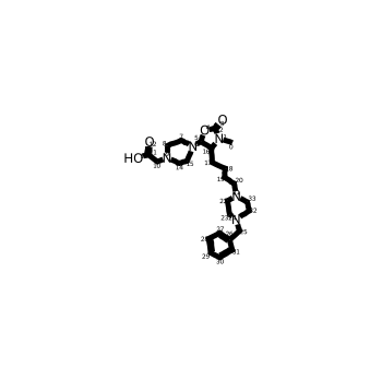 CN1C(=O)OC(N2CCN(CC(=O)O)CC2)C1CCCCN1CCN(Cc2ccccc2)CC1